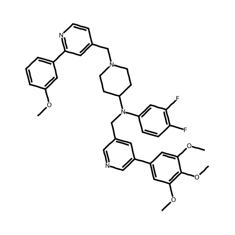 COc1cccc(-c2cc(CN3CCC(N(Cc4cncc(-c5cc(OC)c(OC)c(OC)c5)c4)c4ccc(F)c(F)c4)CC3)ccn2)c1